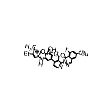 CCc1cc(Nc2cc(-c3ccnc(-n4ncc5cc(C(C)(C)C)cc(F)c5c4=O)c3COC(C)=O)cn(C)c2=O)nn1C